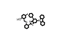 Oc1ccc(I)cc1/C=N/c1ccccc1-c1nc2c(-c3ccccc3)cc(-n3c4ccccc4c4ccccc43)cc2s1